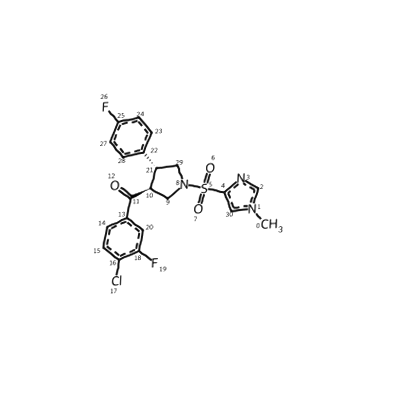 Cn1cnc(S(=O)(=O)N2C[C@@H](C(=O)c3ccc(Cl)c(F)c3)[C@H](c3ccc(F)cc3)C2)c1